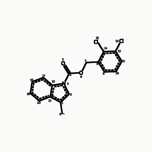 [CH2]c1cn(C(=O)OCc2cccc(Cl)c2Cl)c2ccccc12